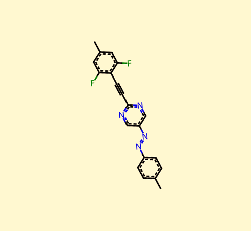 Cc1ccc(N=Nc2cnc(C#Cc3c(F)cc(C)cc3F)nc2)cc1